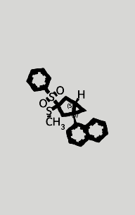 CSC1(S(=O)(=O)c2ccccc2)C[C@@H]2C[C@]2(c2cccc3ccccc23)C1